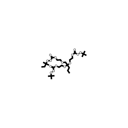 CCCC(COCCOC(=O)OOC(C)(C)CC)(OCCOC(=O)OOC(C)(C)C)OCCOC(=O)OOC(C)(C)C